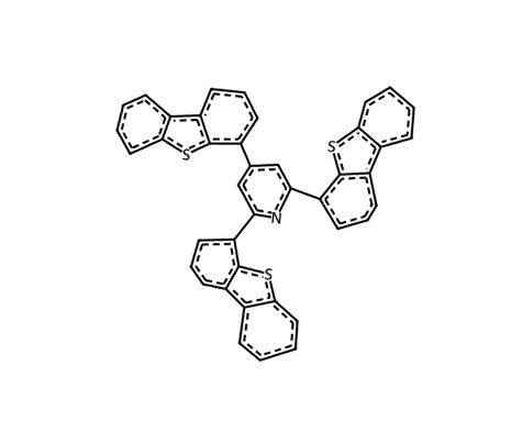 c1ccc2c(c1)sc1c(-c3cc(-c4cccc5c4sc4ccccc45)nc(-c4cccc5c4sc4ccccc45)c3)cccc12